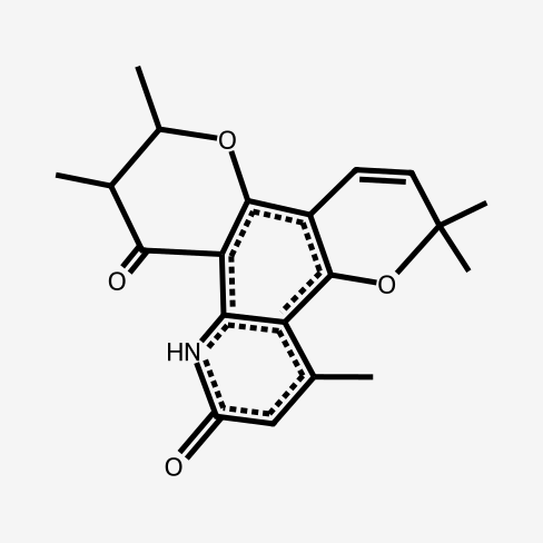 Cc1cc(=O)[nH]c2c3c(c4c(c12)OC(C)(C)C=C4)OC(C)C(C)C3=O